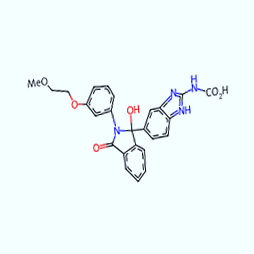 COCCOc1cccc(N2C(=O)c3ccccc3C2(O)c2ccc3[nH]c(NC(=O)O)nc3c2)c1